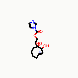 O=C(OCCC1(O)CCCC/C=C/C1O)n1ccnc1